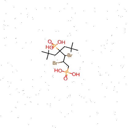 CC(C)(C)CC(CC(C)(C)C)(C(Br)C(Br)CP(=O)(O)O)P(=O)(O)O